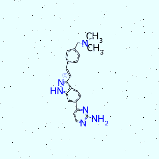 CN(C)Cc1ccc(/C=C/c2n[nH]c3cc(-c4ccnc(N)n4)ccc23)cc1